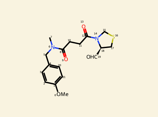 COc1ccc(CN(C)C(=O)CCC(=O)N2CSC[C@H]2C=O)cc1